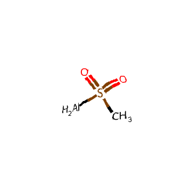 C[S](=O)(=O)[AlH2]